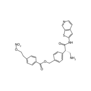 NC[C@@H](C(=O)Nc1cc2ccncc2s1)c1ccc(COC(=O)c2ccc(CCO[N+](=O)[O-])cc2)cc1